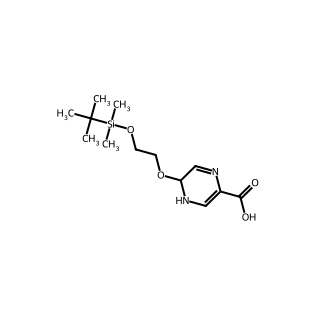 CC(C)(C)[Si](C)(C)OCCOC1C=NC(C(=O)O)=CN1